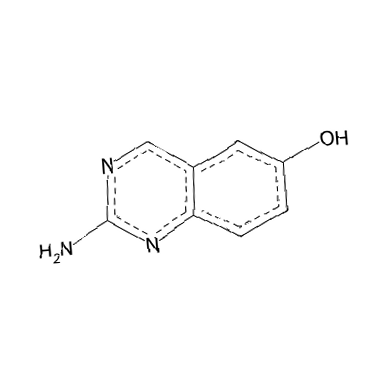 Nc1ncc2cc(O)ccc2n1